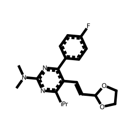 CC(C)c1nc(N(C)C)nc(-c2ccc(F)cc2)c1/C=C/C1OCCO1